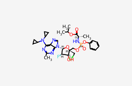 Cc1nc(N(C2CC2)C2CC2)c2ncn([C@@H]3O[C@](CCl)(CO[P@](=O)(N[C@@H](C)C(=O)OC(C)C)Oc4ccccc4)[C@@H](O)[C@H]3F)c2n1